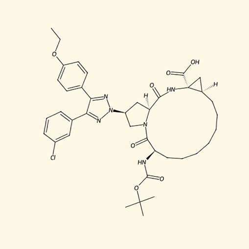 CCOc1ccc(-c2nn([C@H]3C[C@H]4C(=O)N[C@@]5(C(=O)O)C[C@H]5CCCCCCC[C@@H](NC(=O)OC(C)(C)C)C(=O)N4C3)nc2-c2cccc(Cl)c2)cc1